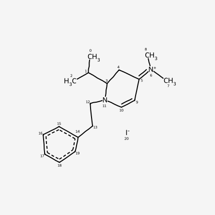 CC(C)C1CC(=[N+](C)C)C=CN1CCc1ccccc1.[I-]